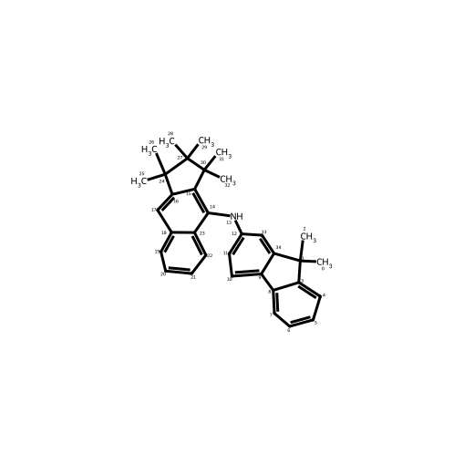 CC1(C)c2ccccc2-c2ccc(Nc3c4c(cc5ccccc35)C(C)(C)C(C)(C)C4(C)C)cc21